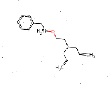 C=CCC(CC=C)CCO[SiH2]Cc1ccccc1